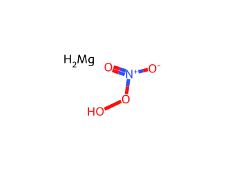 O=[N+]([O-])OO.[MgH2]